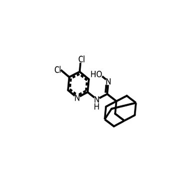 O/N=C(\Nc1cc(Cl)c(Cl)cn1)C12CC3CC(CC(C3)C1)C2